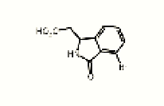 O=C(O)CC1NC(=O)c2c(Br)cccc21